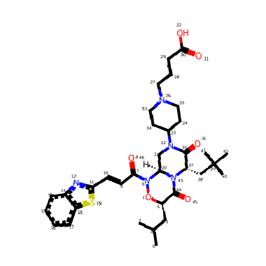 CC(C)C[C@H]1ON(C(=O)/C=C/c2nc3ccccc3s2)[C@H]2CN(C3CCN(CCCC(=O)O)CC3)C(=O)[C@H](CC(C)(C)C)N2C1=O